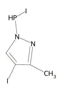 Cc1nn(PI)cc1I